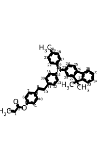 C=CC(=O)Oc1ccc(C=Cc2ccc(N(c3ccc(C)cc3)c3ccc4c(c3)C(C)(C)c3ccccc3-4)cc2)cc1